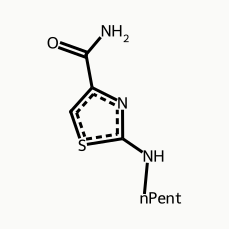 CCCCCNc1nc(C(N)=O)cs1